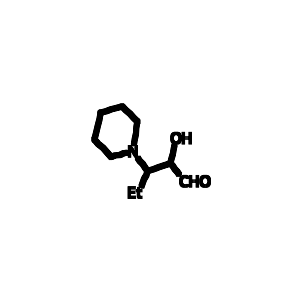 CCC(C(O)C=O)N1CCCCC1